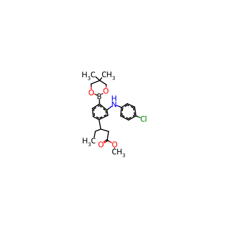 CCC(CC(=O)OC)c1ccc(B2OCC(C)(C)CO2)c(Nc2ccc(Cl)cc2)c1